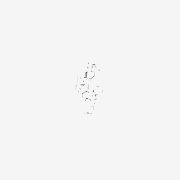 Cc1cc2ncnn2cc1Nc1ncc2nc3n(c2n1)C1(CCOCC1)CN3C(=O)OC(C)(C)C